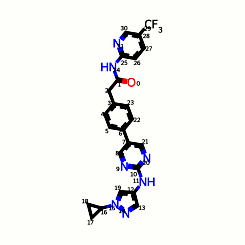 O=C(Cc1ccc(-c2cnc(Nc3cnn(C4CC4)c3)nc2)cc1)Nc1ccc(C(F)(F)F)cn1